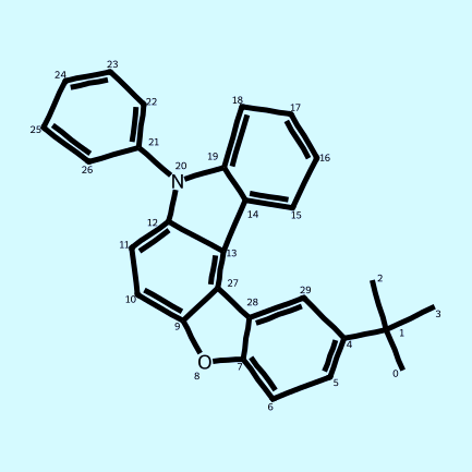 CC(C)(C)c1ccc2oc3ccc4c(c5ccccc5n4-c4ccccc4)c3c2c1